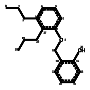 CCCc1cccc(OCc2ccccc2O)c1CCC